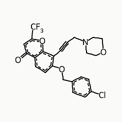 O=c1cc(C(F)(F)F)oc2c(C#CCN3CCOCC3)c(OCc3ccc(Cl)cc3)ccc12